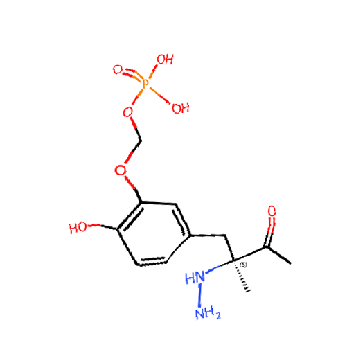 CC(=O)[C@](C)(Cc1ccc(O)c(OCOP(=O)(O)O)c1)NN